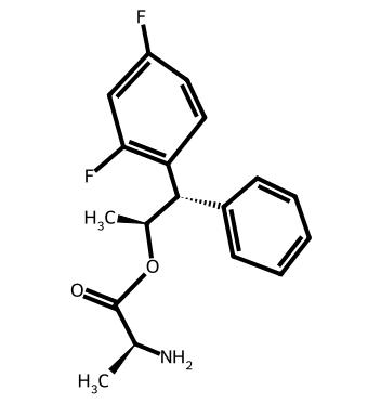 C[C@H](N)C(=O)O[C@@H](C)[C@@H](c1ccccc1)c1ccc(F)cc1F